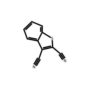 N#Cc1sc2ccccc2c1C#N